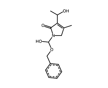 CC1=C(C(C)O)C(=O)N(C(O)OCc2ccccc2)C1